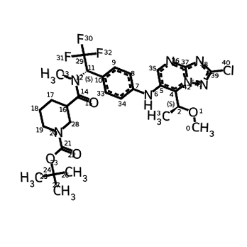 CO[C@@H](C)c1c(Nc2ccc([C@H](N(C)C(=O)C3CCCN(C(=O)OC(C)(C)C)C3)C(F)(F)F)cc2)cnc2nc(Cl)nn12